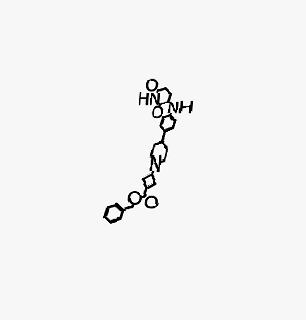 O=C1CCC(Nc2ccc(C3CCN(C4CC(C(=O)OCc5ccccc5)C4)CC3)cc2)C(=O)N1